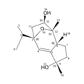 CC(C)[C@]12C=C3[C@@H](CC[C@]3(C)O)[C@](C)(O1)[C@H](O)C2